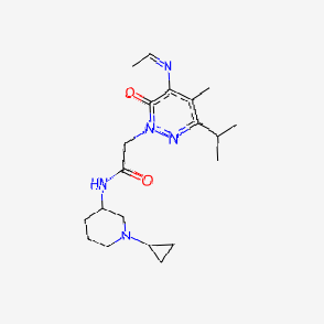 C/C=N\c1c(C)c(C(C)C)nn(CC(=O)NC2CCCN(C3CC3)C2)c1=O